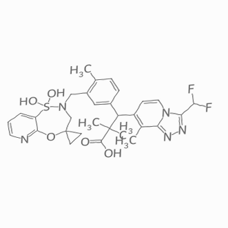 Cc1ccc(C(c2ccn3c(C(F)F)nnc3c2C)C(C)(C)C(=O)O)cc1CN1CC2(CC2)Oc2ncccc2S1(O)O